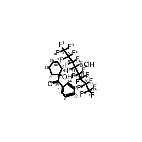 Cl.FC(F)(F)C(F)(F)C(F)(F)C(F)(F)C(F)(F)C(F)(F)C(F)(F)C(F)(F)F.O=C(c1ccccc1)C1(O)CCCCC1